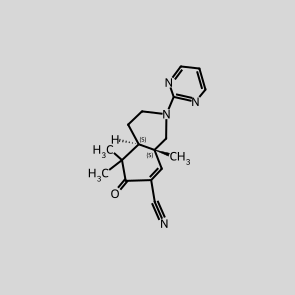 CC1(C)C(=O)C(C#N)=C[C@@]2(C)CN(c3ncccn3)CC[C@H]12